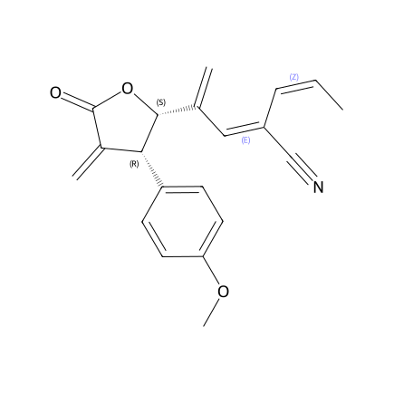 C=C(/C=C(C#N)\C=C/C)[C@H]1OC(=O)C(=C)[C@H]1c1ccc(OC)cc1